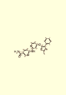 Cc1nc(-c2ccccc2)c(Oc2ccnc(Nc3ccc(C(N)=O)cn3)c2)s1